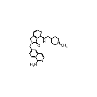 CN1CCC(CNc2nccc3c2C(=O)N(Cc2ccc4c(N)nccc4c2)C3)CC1